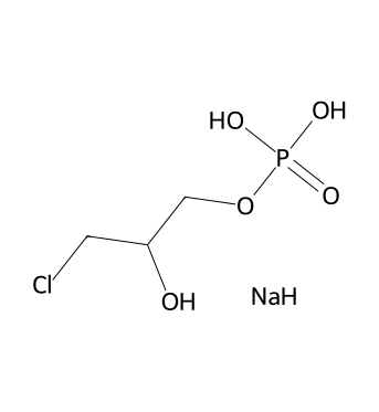 O=P(O)(O)OCC(O)CCl.[NaH]